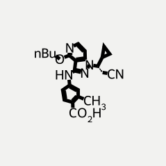 CCCCOc1nccc2c1c(Nc1ccc(C(=O)O)c(C)c1)nn2[C@@H](CC#N)C1CC1